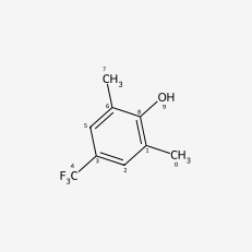 Cc1cc(C(F)(F)F)cc(C)c1O